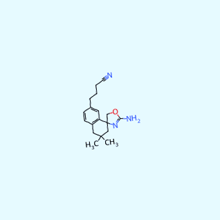 CC1(C)Cc2ccc(CCCC#N)cc2C2(COC(N)=N2)C1